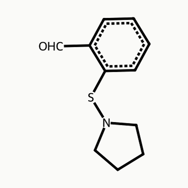 O=Cc1ccccc1SN1CCCC1